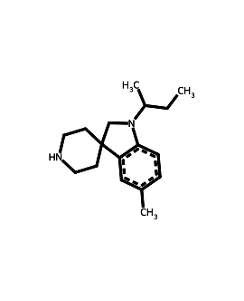 CCC(C)N1CC2(CCNCC2)c2cc(C)ccc21